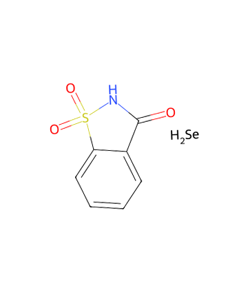 O=C1NS(=O)(=O)c2ccccc21.[SeH2]